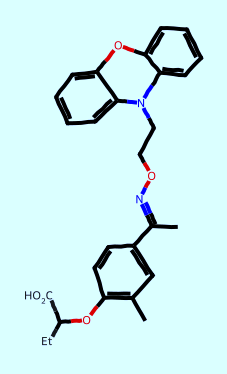 CCC(Oc1ccc(/C(C)=N/OCCN2c3ccccc3Oc3ccccc32)cc1C)C(=O)O